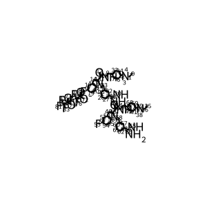 CC[N+](C)(C)c1ccc(CNC(=O)c2cc3cc(F)ccc3n2Cc2cccc(C(=N)N)c2)cc1.CC[N+](C)(C)c1ccc(CNC(=O)c2cc3cc(F)ccc3n2Cc2cccc(C(=N)N)c2)cc1.O=C([O-])C(F)(F)F.O=C([O-])C(F)(F)F